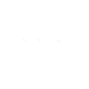 C=CN(C)/C1=C(\N(C)c2ccc(CC)nc2)C/C=C\C=C/C1